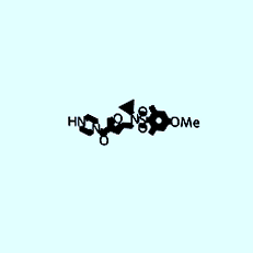 COc1cc(C)c(S(=O)(=O)N(Cc2cc(C(=O)N3CCNCC3)co2)C2CC2)c(C)c1